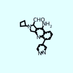 Nc1c2c(nc3c(-c4ccnnc4)cccc13)CN(C1CCC1)C2C=O